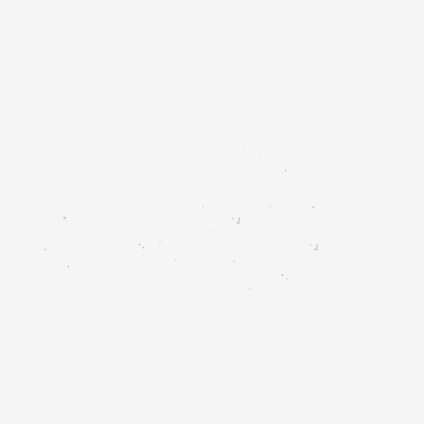 O=C(Nc1ccc(Nc2ccnc3[nH]c(=O)cc(OCC4CC4)c23)cc1)c1ccccc1